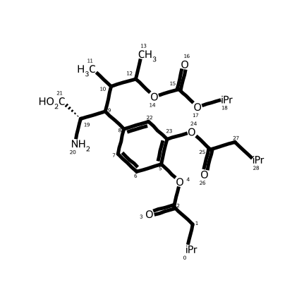 CC(C)CC(=O)Oc1ccc(C(C(C)C(C)OC(=O)OC(C)C)[C@H](N)C(=O)O)cc1OC(=O)CC(C)C